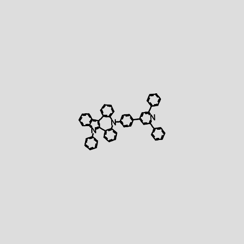 c1ccc(-c2cc(-c3ccc(N4c5ccccc5-c5c(n(-c6ccccc6)c6ccccc56)-c5ccccc54)cc3)cc(-c3ccccc3)n2)cc1